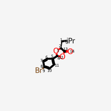 CC(C)C[C@@H]1OC(c2ccc(Br)cc2)OC1=O